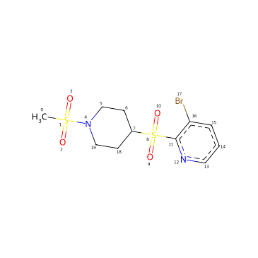 CS(=O)(=O)N1CCC(S(=O)(=O)c2ncccc2Br)CC1